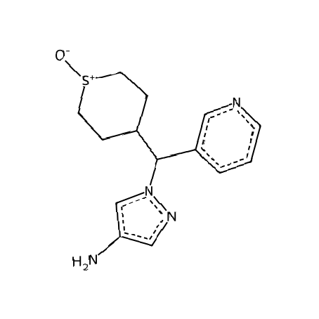 Nc1cnn(C(c2cccnc2)C2CC[S+]([O-])CC2)c1